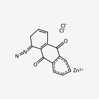 [Cl-].[Cl-].[N-]=[N+]=C1CC=CC2=C1C(=O)c1ccccc1C2=O.[Zn+2]